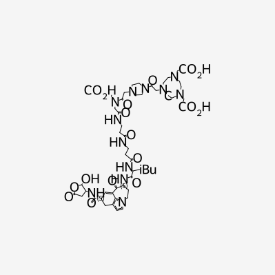 CCC(C)C(NC(=O)CCNC(=O)CCNC(=O)CN(CC(=O)O)C(=O)CN1CCN(C(=O)CN2CCN(CC(=O)O)CCN(CC(=O)O)CC2)CC1)C(=O)N[C@H]1CCn2ccc3c2C(=C[C@@H](C(=O)NC2CC(=O)OC2O)C3)C1=O